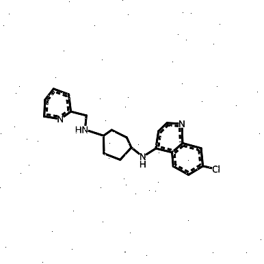 Clc1ccc2c(NC3CCC(NCc4ccccn4)CC3)ccnc2c1